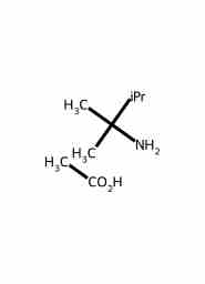 CC(=O)O.CC(C)C(C)(C)N